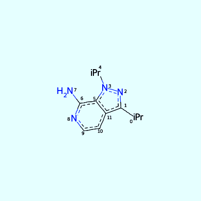 CC(C)c1nn(C(C)C)c2c(N)nccc12